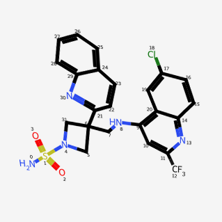 NS(=O)(=O)N1CC(CNc2cc(C(F)(F)F)nc3ccc(Cl)cc23)(c2ccc3ccccc3n2)C1